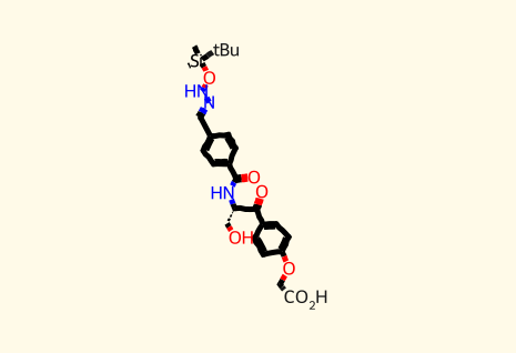 CC(C)(C)[Si](C)(C)ONN=Cc1ccc(C(=O)N[C@@H](CO)C(=O)c2ccc(OCC(=O)O)cc2)cc1